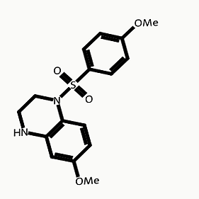 COc1ccc(S(=O)(=O)N2CCNc3cc(OC)ccc32)cc1